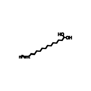 CCCCCC=CCCCCCCCCCCC(O)O